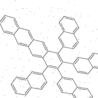 c1ccc2cc(-c3c(-c4ccc5ccccc5c4)c(-c4ccc5ccccc5c4)c4cc5cc6ccccc6cc5cc4c3-c3ccc4ccccc4c3)ccc2c1